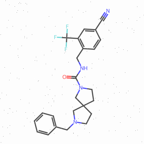 N#Cc1ccc(CNC(=O)N2CCC3(CCN(Cc4ccccc4)C3)C2)c(C(F)(F)F)c1